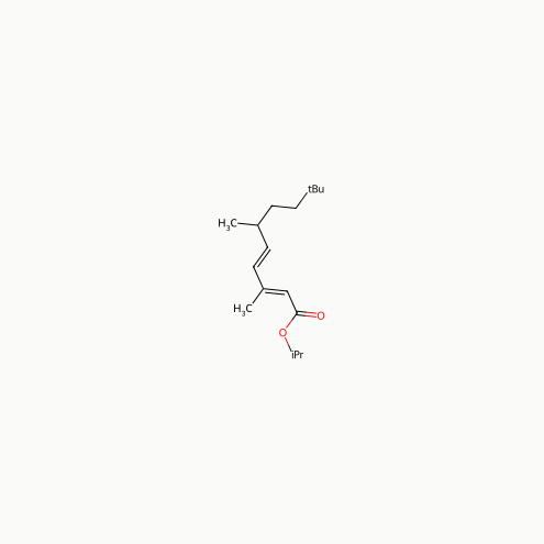 CC(C=CC(C)CCC(C)(C)C)=CC(=O)OC(C)C